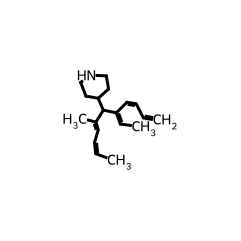 C=C/C=C\C(=C/C)C(/C(C)=C/C=C\C)C1CCNCC1